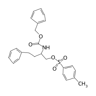 Cc1ccc(S(=O)(=O)OCC(CCc2ccccc2)NC(=O)OCc2ccccc2)cc1